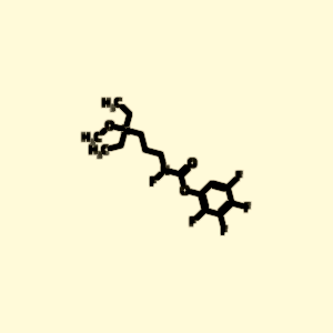 CC[Si](CC)(CCCN(F)C(=O)Oc1cc(F)c(F)c(F)c1F)OC